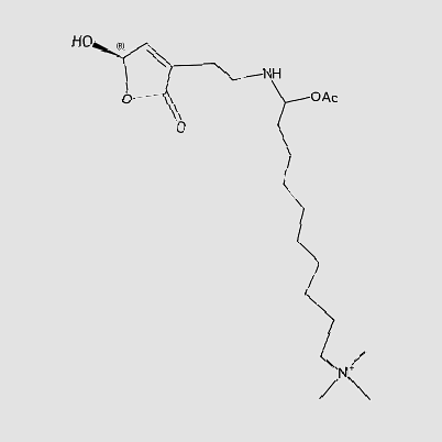 CC(=O)OC(CCCCCCCCC[N+](C)(C)C)NCCC1=C[C@H](O)OC1=O